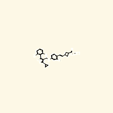 O=C(NS)C1CC(/C=C/c2ccc(OCc3c(-c4c(Cl)cccc4Cl)noc3C3CC3)cc2Cl)C1